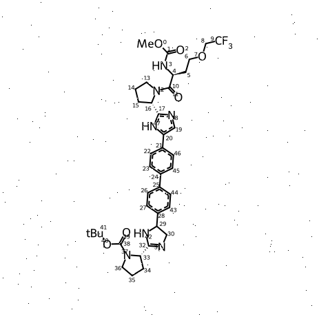 COC(=O)N[C@@H](CCOCC(F)(F)F)C(=O)N1CCC[C@H]1c1ncc(-c2ccc(-c3ccc(C4CN=C([C@@H]5CCCN5C(=O)OC(C)(C)C)N4)cc3)cc2)[nH]1